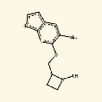 CN1CCC1COc1nc2[nH]ccc2cc1C(C)(C)C